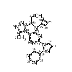 CC[C@@H]1c2nnc(C)n2-c2cnc(-n3ccnc3-c3cncnc3)nc2N1C1=CC=C1